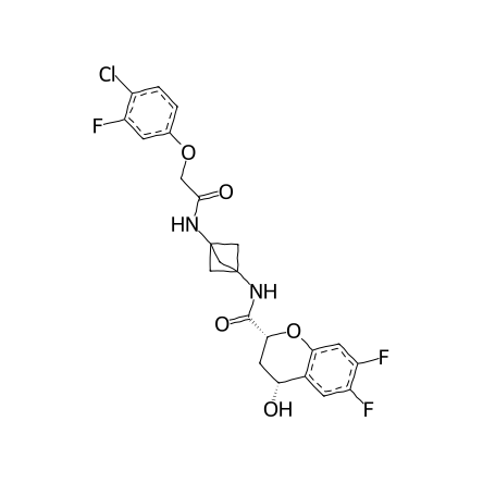 O=C(COc1ccc(Cl)c(F)c1)NC12CC(NC(=O)[C@H]3C[C@@H](O)c4cc(F)c(F)cc4O3)(C1)C2